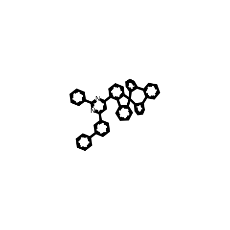 c1ccc(-c2cccc(-c3cc(-c4cccc5c4-c4ccccc4C54c5ccccc5-c5ccccc5-c5ccccc54)nc(-c4ccccc4)n3)c2)cc1